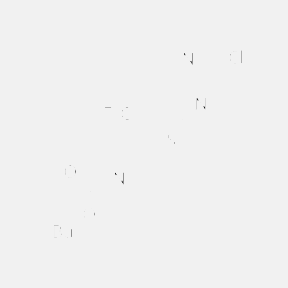 CC(C)(C)OC(=O)N1CC(Sc2nc(Cl)ncc2C(F)(F)F)C1